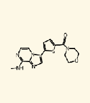 CNc1nccn2c(-c3ccc(C(=O)N4CCOCC4)s3)cnc12